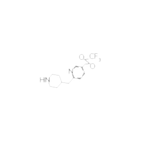 O=S(=O)(c1ccc(CC2CCNCC2)nc1)C(F)(F)F